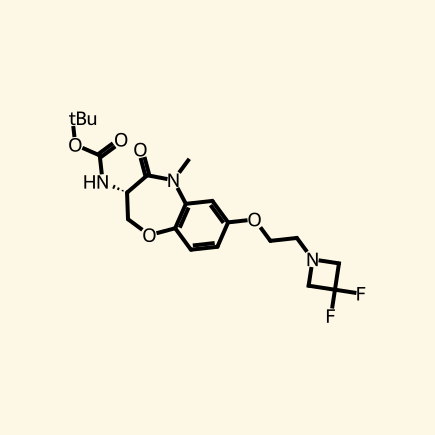 CN1C(=O)[C@@H](NC(=O)OC(C)(C)C)COc2ccc(OCCN3CC(F)(F)C3)cc21